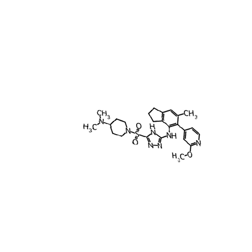 COc1cc(-c2c(C)cc3c(c2Nc2nnc(S(=O)(=O)N4CCC(N(C)C)CC4)[nH]2)CCC3)ccn1